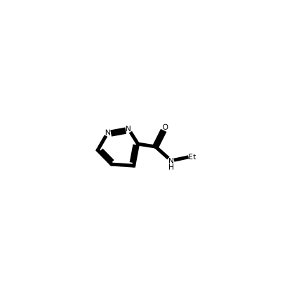 CCNC(=O)c1cccnn1